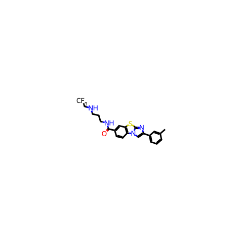 Cc1cccc(-c2cn3c(n2)sc2cc(C(=O)NCCCNCC(F)(F)F)ccc23)c1